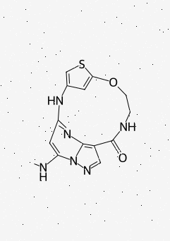 CNc1cc2nc3c(cnn13)C(=O)NCCOc1cc(cs1)N2